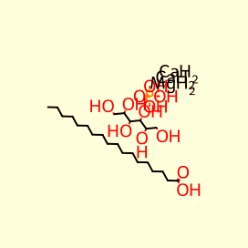 CCCCCCCCCCCCCCCCCC(=O)O.O=P(O)(O)O.OCC(O)C(O)C(O)C(O)CO.[CaH2].[CaH2].[MgH2]